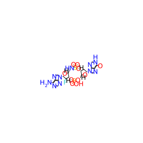 Nc1ncnc2c1ncn2[C@@H]1O[C@@H]2CNS(=O)(=O)O[C@H]3C[C@H](n4cnc5c(=O)[nH]cnc54)O[C@@H]3COP(=O)(O)O[C@H]2[C@H]1F